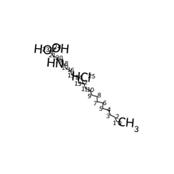 CCCCCCCCCCCCCCCCCCCNCCC(O)O.Cl